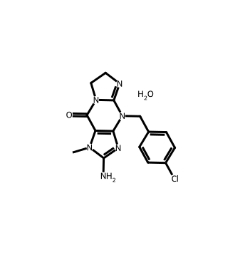 Cn1c(N)nc2c1C(=O)N1CCN=C1N2Cc1ccc(Cl)cc1.O